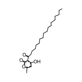 CCCCCCCCCCCCCCCCCC(=O)c1c(O)cc(C)oc1=O